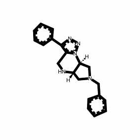 c1ccc(CN2C[C@@H]3NCc4c(-c5ccccc5)nnn4[C@H]3C2)cc1